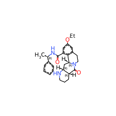 CCOc1cc2c(c(C(=O)N[C@H](C)c3ccccc3)c1)[C@H]1C[C@H]3NCCC[C@H]3C(=O)N1CC2